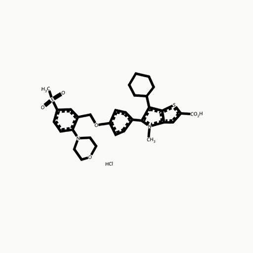 Cl.Cn1c(-c2ccc(OCc3cc(S(C)(=O)=O)ccc3N3CCOCC3)cc2)c(C2CCCCC2)c2sc(C(=O)O)cc21